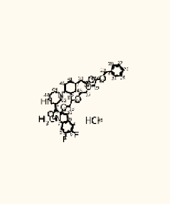 CN1c2cc(F)c(F)cc2CC1(OCCOCCOCCOCc1ccccc1)C(=O)C1CN(C2CCC(CC=O)CC2)CCN1.Cl